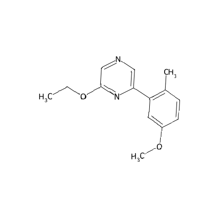 CCOc1cncc(-c2cc(OC)ccc2C)n1